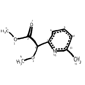 COC(=O)C(OC)c1cccc(C)n1